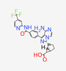 Nc1nccn2c([C@@H]3CCC4C(C(=O)O)[C@H]43)nc(-c3ccc(C(=O)Nc4cc(C(F)(F)F)ccn4)cc3)c12